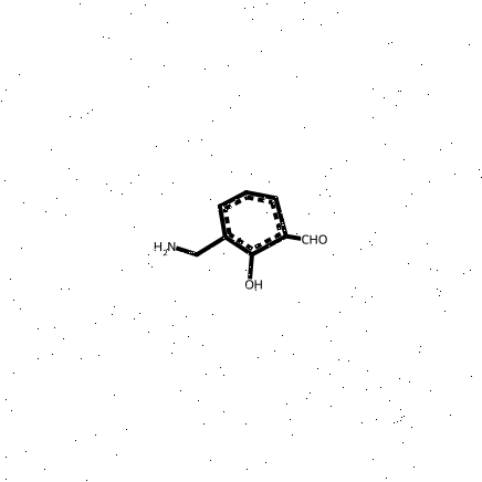 NCc1cccc(C=O)c1O